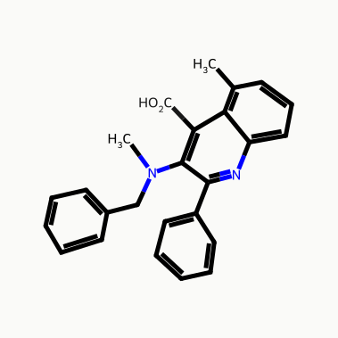 Cc1cccc2nc(-c3ccccc3)c(N(C)Cc3ccccc3)c(C(=O)O)c12